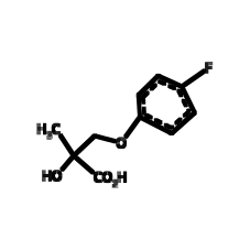 CC(O)(COc1ccc(F)cc1)C(=O)O